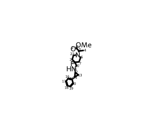 COC(=O)C(C)N1CCC(F)(CN[C@@H]2C[C@H]2c2ccccc2)CC1